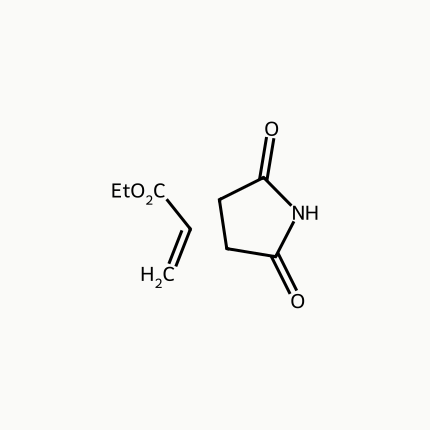 C=CC(=O)OCC.O=C1CCC(=O)N1